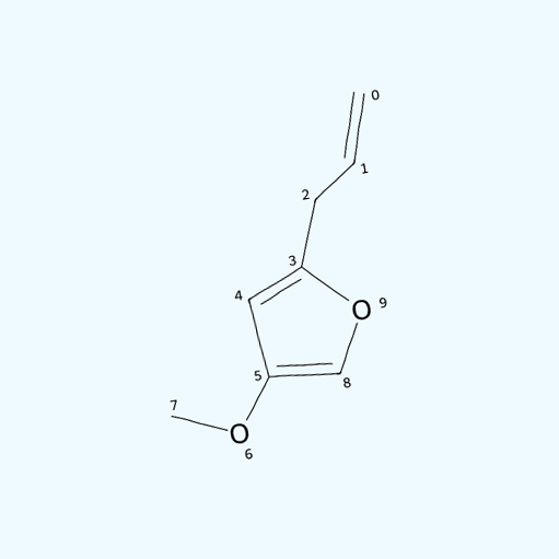 C=CCc1cc(OC)co1